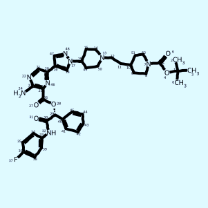 CC(C)(C)OC(=O)N1CCC(CCN2CCC(n3cc(-c4cnc(N)c(C(=O)O[C@@H](C(=O)Nc5ccc(F)cc5)c5ccccc5)n4)cn3)CC2)CC1